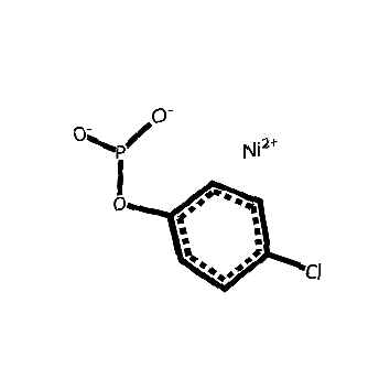 [Ni+2].[O-]P([O-])Oc1ccc(Cl)cc1